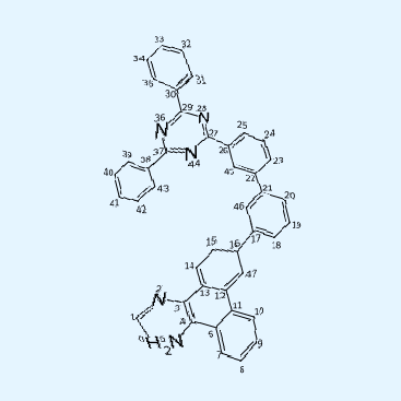 C/C=N\c1c(N)c2ccccc2c2c1=CCC(c1cccc(-c3cccc(-c4nc(-c5ccccc5)nc(-c5ccccc5)n4)c3)c1)C=2